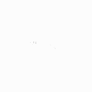 NCCS(=O)(=O)N1CCC1